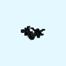 CCCCOP(=O)(OCCCC)C(OC[C@H]1O[C@@H](n2cnc3c(Cl)nc(Cl)nc32)[C@@H]2OC(C)(C)O[C@@H]21)C(=O)OCC